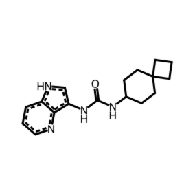 O=C(Nc1c[nH]c2cccnc12)NC1CCC2(CCC2)CC1